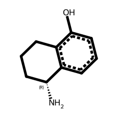 N[C@@H]1CCCc2c(O)cccc21